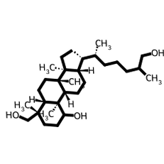 CC(CO)CCC[C@@H](C)[C@H]1CC[C@@]2(C)[C@H]1CC[C@@H]1[C@@]3(C)C(O)CC[C@](C)(CO)[C@@H]3CC[C@@]12C